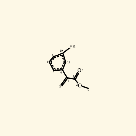 [CH]=C(C(=O)OC)c1cccc(F)c1